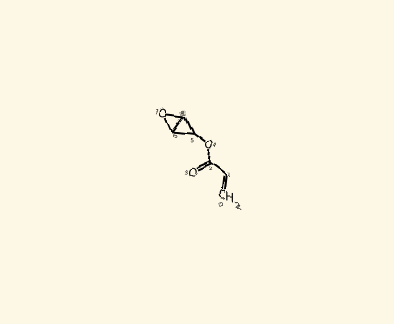 C=CC(=O)OC1C2OC12